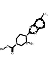 CC[C@H]1CN(C(=O)OC(C)(C)C)CCN1c1nc2ccc(C(F)(F)F)cc2s1